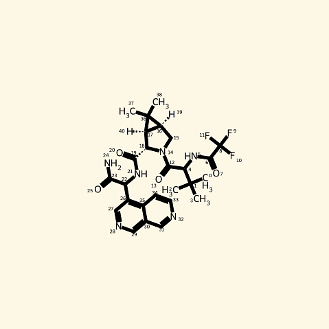 CC(C)(C)C(NC(=O)C(F)(F)F)C(=O)N1C[C@H]2[C@@H]([C@H]1C(=O)NC(C(N)=O)c1cncc3cnccc13)C2(C)C